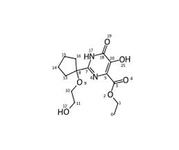 CCOC(=O)c1nc(C2(OCCO)CCCC2)[nH]c(=O)c1O